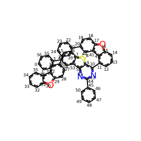 c1ccc(-c2ccc3sc4c(-c5cccc6oc7ccc(-c8cccc(-c9ccc%10oc%11ccccc%11c%10c9)c8)cc7c56)nc(-c5ccccc5)nc4c3c2)cc1